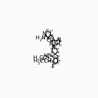 CC(C)(C)OC(=O)NC1c2cc(F)ccc2CC12CCN(c1ncc(Sc3ccnc(N)c3Cl)c3nccn13)CC2